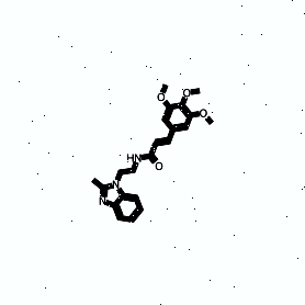 COc1cc(/C=C/C(=O)NCCn2c(C)nc3ccccc32)cc(OC)c1OC